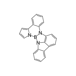 c1ccc2c(c1)-c1cccn1B1N2c2cccc3c4ccccc4n1c23